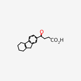 O=C(O)CCC(=O)c1ccc2c(c1)CC1=C2CCCC1